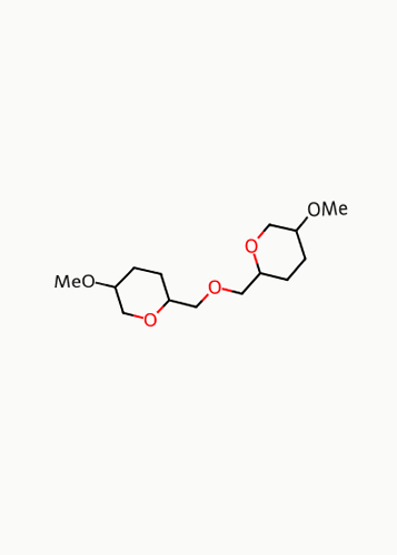 COC1CCC(COCC2CCC(OC)CO2)OC1